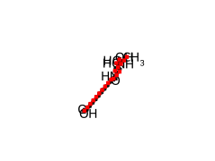 CCCC(NC(O)C1CCC(CNC(=O)CCCCCCCCCCCCCCCCCCC(=O)O)CC1)C(O)O